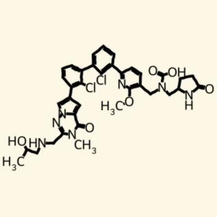 COc1nc(-c2cccc(-c3cccc(-c4cc5c(=O)n(C)c(CNCC(C)O)nn5c4)c3Cl)c2Cl)ccc1CN(CC1CCC(=O)N1)C(=O)O